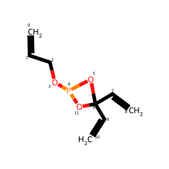 C=CCOP1OC(C=C)(C=C)O1